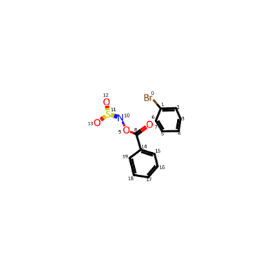 Brc1ccccc1.O=C(ON=S(=O)=O)c1ccccc1